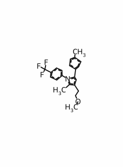 COCCc1cc(-c2ccc(C)cc2)n(-c2ccc(C(F)(F)F)cc2)c1C